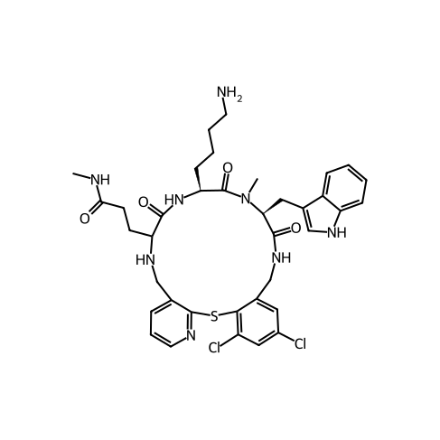 CNC(=O)CCC1NCc2cccnc2Sc2c(Cl)cc(Cl)cc2CNC(=O)[C@H](Cc2c[nH]c3ccccc23)N(C)C(=O)[C@H](CCCCN)NC1=O